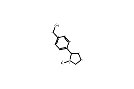 CC(=O)N1CCCC1c1ccc(CO)cc1